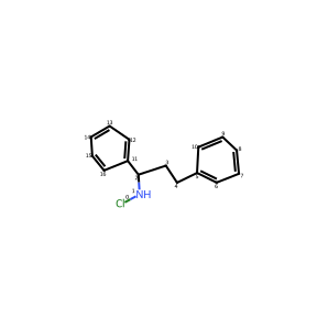 ClNC(CCc1ccccc1)c1ccccc1